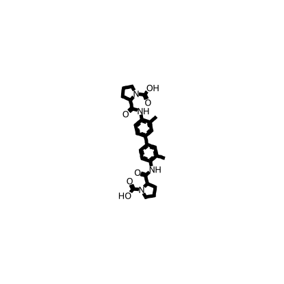 Cc1cc(-c2ccc(NC(=O)C3CCCN3C(=O)O)c(C)c2)ccc1NC(=O)C1CCCN1C(=O)O